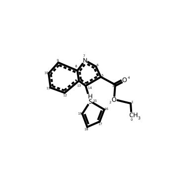 CCOC(=O)c1cnc2ccccc2c1[SH]1C=CC=C1